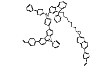 C=Cc1ccc(-c2ccc3cc(OCCCCCCCCC4(c5ccccc5)c5ccccc5-c5ccc(N(c6ccc(-c7ccccc7)cc6)c6ccc(-c7ccc8c(c7)c7cc(-c9ccc(C=C)cc9)ccc7n8-c7ccccc7)cc6)cc54)ccc3c2)cc1